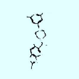 COc1cc(N2CCN([C@@H](C)c3nc4nc(C)sc4cc3F)CC2)cc(C)n1